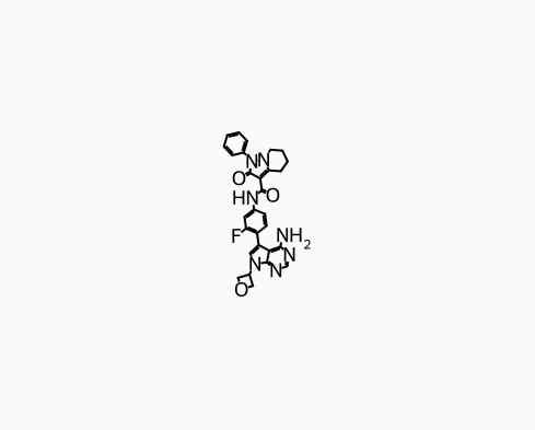 Nc1ncnc2c1c(-c1ccc(NC(=O)c3c4n(n(-c5ccccc5)c3=O)CCCC4)cc1F)cn2C1COC1